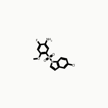 COc1cc(F)c(N)cc1S(=O)(=O)n1ccc2cc(Cl)ccc21